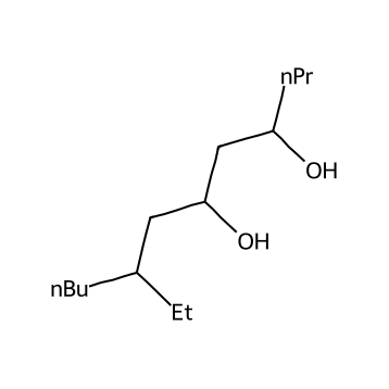 CCCCC(CC)CC(O)CC(O)CCC